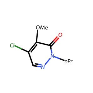 CCCn1ncc(Cl)c(OC)c1=O